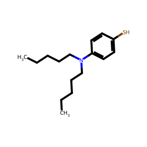 CCCCCN(CCCCC)c1ccc(S)cc1